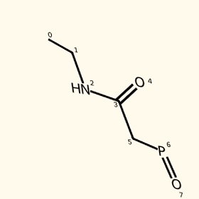 CCNC(=O)CP=O